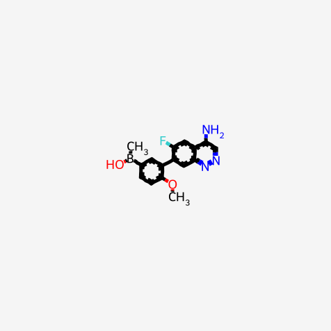 COc1ccc(B(C)O)cc1-c1cc2nncc(N)c2cc1F